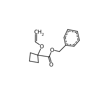 C=COC1(C(=O)OCc2ccccc2)CCC1